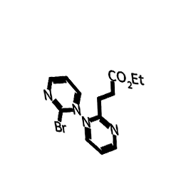 Brc1ncccn1.CCOC(=O)CCc1ncccn1